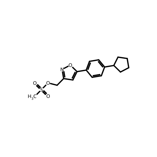 CS(=O)(=O)OCc1cc(-c2ccc(C3CCCC3)cc2)on1